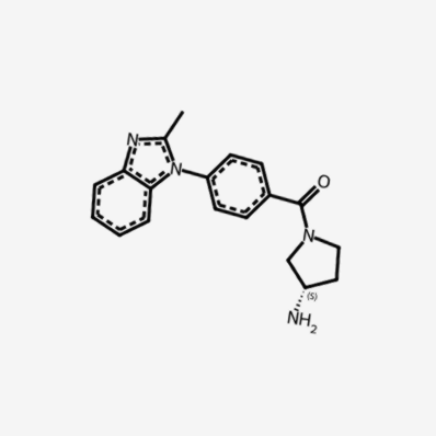 Cc1nc2ccccc2n1-c1ccc(C(=O)N2CC[C@H](N)C2)cc1